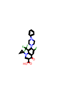 O=C(O)c1cn(C2CC2)c2c(C(F)(F)F)c(N3CCN(c4ccccc4)CC3)c(F)cc2c1=O